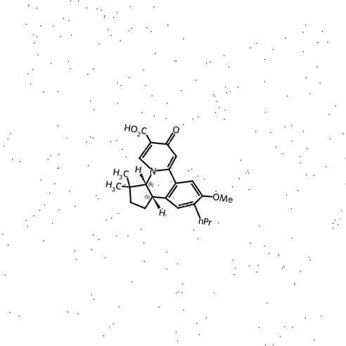 CCCc1cc2c(cc1OC)-c1cc(=O)c(C(=O)O)cn1[C@@H]1[C@H]2CCC1(C)C